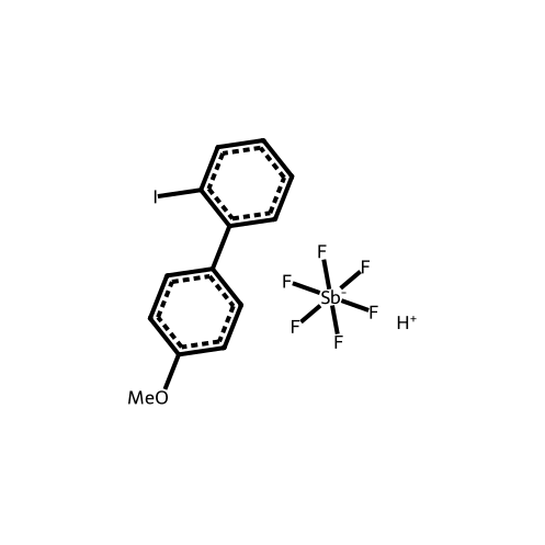 COc1ccc(-c2ccccc2I)cc1.[F][Sb-]([F])([F])([F])([F])[F].[H+]